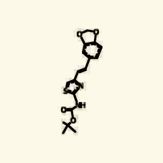 CC(C)(C)OC(=O)Nc1nc(C=Cc2ccc3c(c2)OCO3)cs1